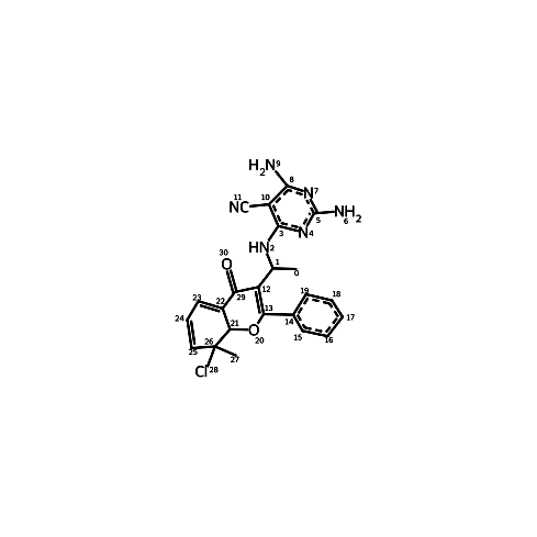 CC(Nc1nc(N)nc(N)c1C#N)C1=C(c2ccccc2)OC2C(=CC=CC2(C)Cl)C1=O